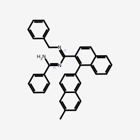 Cc1ccc2cc(-c3c(C(/N=C(\N)c4ccccc4)=N/Cc4ccccc4)ccc4ccccc34)ccc2c1